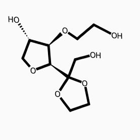 OCCO[C@@H]1[C@@H](O)CO[C@@H]1C1(CO)OCCO1